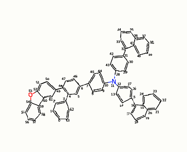 c1ccc(-c2cc(-c3ccc(N(c4ccc(-c5cccc6ccccc56)cc4)c4ccc(-c5cccc6ccccc56)cc4)cc3)ccc2-c2ccc3oc4ccccc4c3c2)cc1